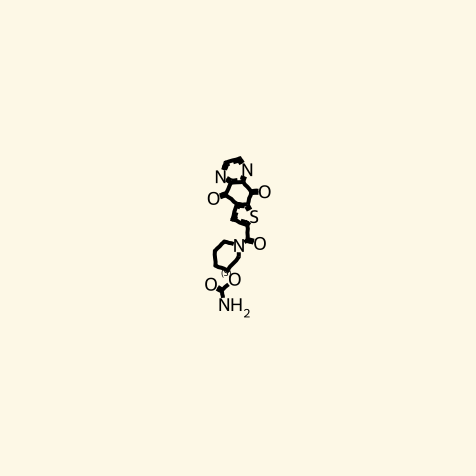 NC(=O)O[C@H]1CCCN(C(=O)c2cc3c(s2)C(=O)c2nccnc2C3=O)C1